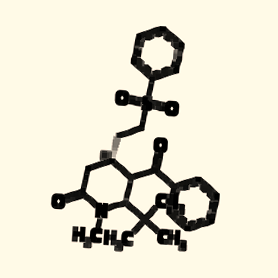 CN1C(=O)C[C@H](CCS(=O)(=O)c2ccccc2)C(C(=O)c2ccccc2)C1C(C)(C)C